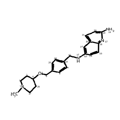 CN1CCC(OCc2ccc(CNc3ccc4nc(N)ccc4c3)cc2)CC1